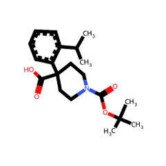 CC(C)c1ccccc1C1(C(=O)O)CCN(C(=O)OC(C)(C)C)CC1